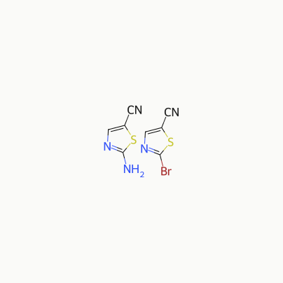 N#Cc1cnc(Br)s1.N#Cc1cnc(N)s1